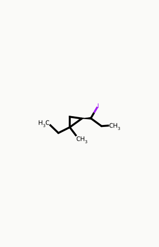 CCC(I)[C@@H]1CC1(C)CC